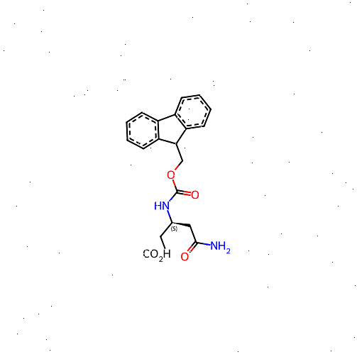 NC(=O)C[C@@H](CC(=O)O)NC(=O)OCC1c2ccccc2-c2ccccc21